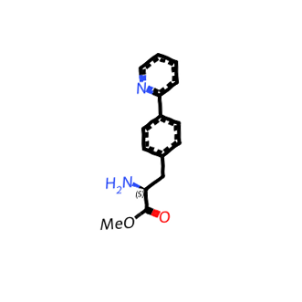 COC(=O)[C@@H](N)Cc1ccc(-c2ccccn2)cc1